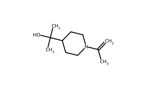 C=C(C)N1CCC(C(C)(C)O)CC1